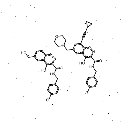 O=C(NCc1ccc(Cl)cc1)c1nnc2c(C#CC3CC3)cc(CN3CCOCC3)cc2c1O.O=C(NCc1ccc(Cl)cc1)c1nnc2ccc(CO)cc2c1O